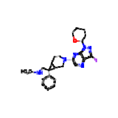 O=C(O)NCC1(c2ccccc2)C2CCN(c3cnc4c(I)nn(C5CCCCO5)c4n3)CC21